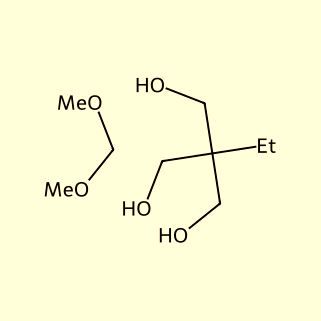 CCC(CO)(CO)CO.COCOC